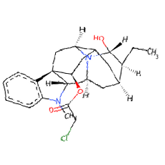 CC[C@@H]1[C@@H](O)N2[C@H]3C[C@@]45c6ccccc6N(C)[C@H]4[C@@H]2C[C@H]1C3[C@H]5OC(=O)CCl